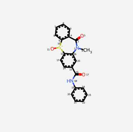 CN1C(=O)c2ccccc2[S+]([O-])c2ccc(C(=O)Nc3ccccc3)cc21